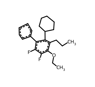 CCCc1c(OCC)c(F)c(F)c(-c2ccccc2)c1C1CCCCC1